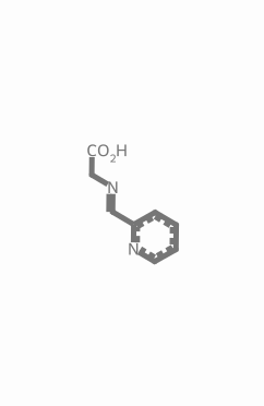 O=C(O)CN=Cc1ccccn1